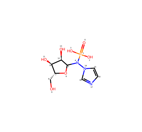 O=P(O)(O)N(C1O[C@H](CO)[C@@H](O)[C@H]1O)n1ccnc1